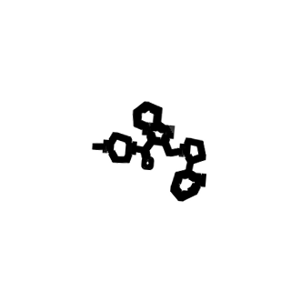 CN1CCN(C(=O)c2c(CN3CCCC3c3ccccn3)nc3ccccn23)CC1